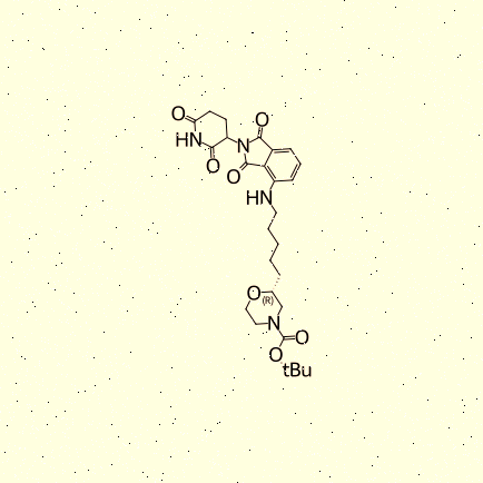 CC(C)(C)OC(=O)N1CCO[C@H](CCCCCNc2cccc3c2C(=O)N(C2CCC(=O)NC2=O)C3=O)C1